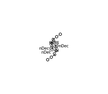 CCCCCCCCCCCCC(CCCCCCCCCC)CN1C(=O)C2=C(c3ncc(-c4ccc(-c5ccc(-c6ccccc6)cc5)s4)s3)N(CC(CCCCCCCCCC)CCCCCCCCCCCC)C(=O)C2=C1c1ncc(-c2ccc(-c3ccc(-c4ccccc4)cc3)s2)s1